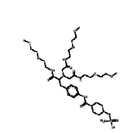 CP(=O)(S)OC1CCC(C(=O)Nc2ccc(CC(C(=O)NCCOCCOI)N(CC(=O)NCCOCCOI)CC(=O)NCCOCCOI)cc2)CC1